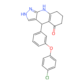 O=C1CCCC2=C1C(c1cccc(Oc3ccc(Cl)cc3)c1)c1c[nH]nc1N2